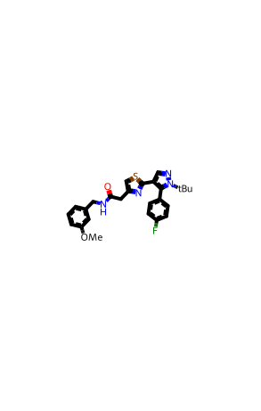 COc1cccc(CNC(=O)Cc2csc(-c3cnn(C(C)(C)C)c3-c3ccc(F)cc3)n2)c1